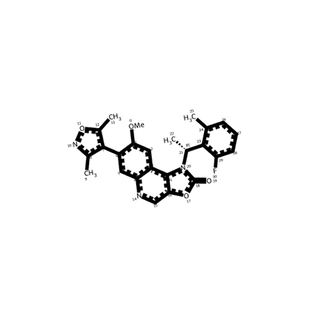 COc1cc2c(cc1-c1c(C)noc1C)ncc1oc(=O)n([C@H](C)c3c(C)cccc3F)c12